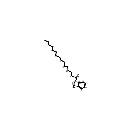 CCCCCCCCCCCCCCCC(=O)n1nnc2ccccc21